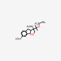 CCCCCCCCc1ccc2c(c1)CC(C(CO)(NC(C)=O)C(C)(C)O[SiH2]C(C)(C)C)C2